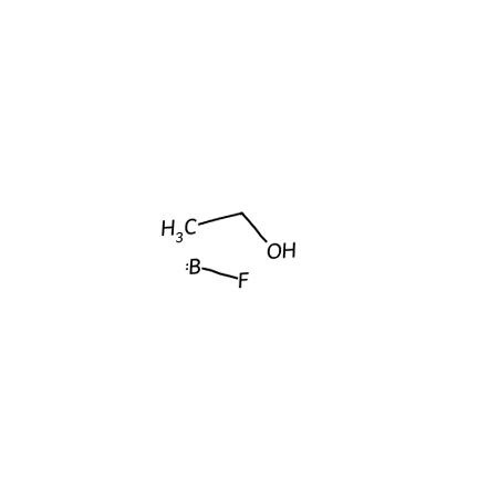 CCO.[B]F